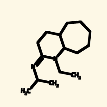 CCN1/C(=N\C(C)C)CCC2CCCCCC21